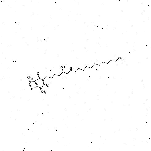 CCCCCCCCCCCCNCC(O)CCCCn1c(=O)c2c(ncn2C)n(C)c1=O